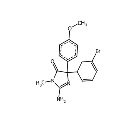 COc1ccc(C2(C3C=CC=C(Br)C3)N=C(N)N(C)C2=O)cc1